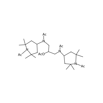 CC(=O)OC(CN(C(C)=O)C1CC(C)(C)N(C(C)=O)C(C)(C)C1)CN(C(C)=O)C1CC(C)(C)N(C(C)=O)C(C)(C)C1